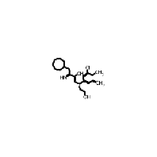 C=C/C=C(\C=C(\Cl)CC)I(/C=C(\C)C(=N)CC1CCCCCC1)CCO